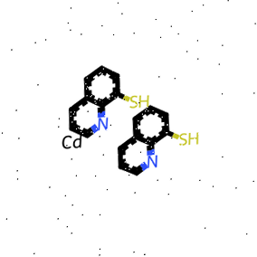 Sc1cccc2cccnc12.Sc1cccc2cccnc12.[Cd]